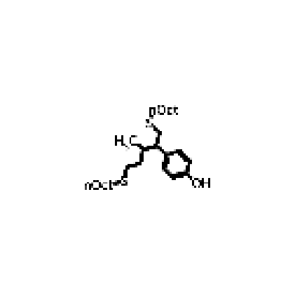 CCCCCCCCSCCC(C)C(CSCCCCCCCC)c1ccc(O)cc1